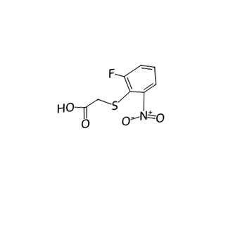 O=C(O)CSc1c(F)cccc1[N+](=O)[O-]